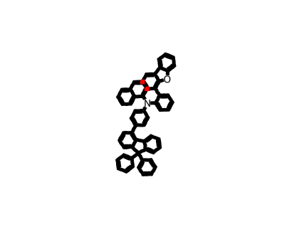 c1ccc(C2(c3ccccc3)c3ccccc3-c3c(-c4ccc(N(c5ccccc5-c5cccc6c5oc5ccccc56)c5cccc6ccccc56)cc4)cccc32)cc1